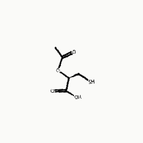 CC(=O)O[C@@H](CS)C(=O)O